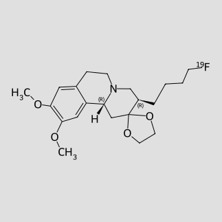 COc1cc2c(cc1OC)[C@H]1CC3(OCCO3)[C@H](CCCC[19F])CN1CC2